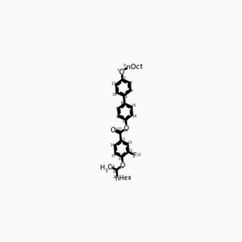 CCCCCCCCOc1ccc(-c2ccc(OC(=O)c3ccc(OC(C)CCCCCC)c(F)c3)cc2)cc1